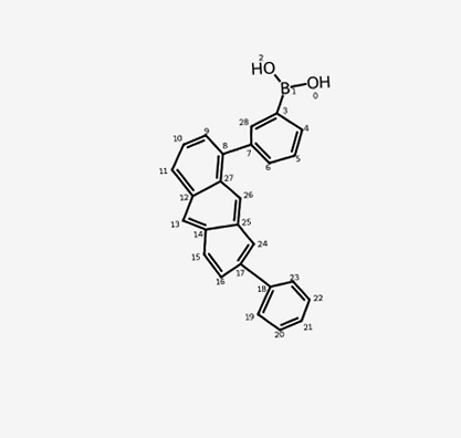 OB(O)c1cccc(-c2cccc3cc4ccc(-c5ccccc5)cc4cc23)c1